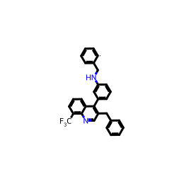 FC(F)(F)c1cccc2c(-c3cccc(NCc4[c]cccc4)c3)c(Cc3ccccc3)cnc12